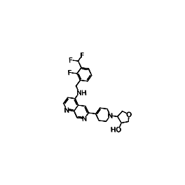 OC1COCC1N1CC=C(c2cc3c(NCc4cccc(C(F)F)c4F)ccnc3cn2)CC1